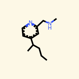 CCCC(C)c1ccnc(CNC)c1